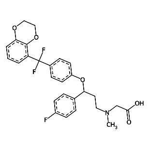 CN(CCC(Oc1ccc(C(F)(F)c2cccc3c2OCCO3)cc1)c1ccc(F)cc1)CC(=O)O